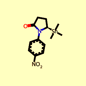 [CH3][Sn]([CH3])([CH3])[C@@H]1CCC(=O)N1c1ccc([N+](=O)[O-])cc1